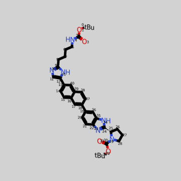 CC(C)(C)OC(=O)NCCCCc1ncc(-c2ccc3cc(-c4ccc5nc([C@@H]6CCCN6C(=O)OC(C)(C)C)[nH]c5c4)ccc3c2)[nH]1